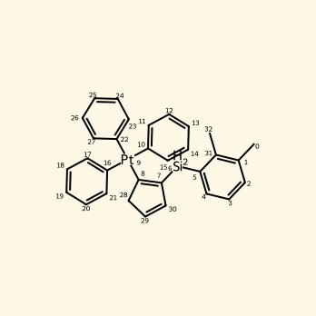 Cc1cccc([SiH2]C2=[C]([Pt]([c]3ccccc3)([c]3ccccc3)[c]3ccccc3)CC=C2)c1C